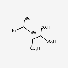 CCCC[CH]([Na])CCCC.O=C(O)CC(C(=O)O)S(=O)(=O)O